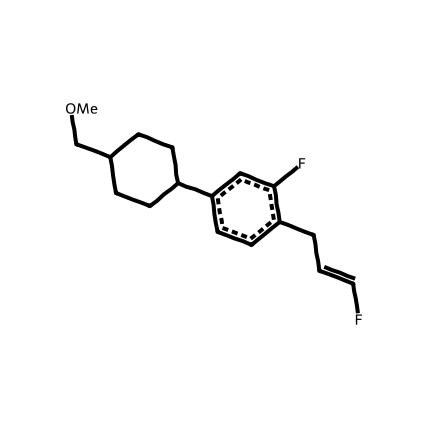 COCC1CCC(c2ccc(CC=CF)c(F)c2)CC1